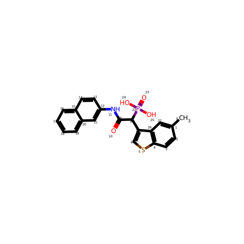 Cc1ccc2scc(C(C(=O)Nc3ccc4ccccc4c3)P(=O)(O)O)c2c1